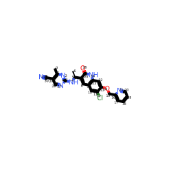 Cc1nc(N[C@@H](C)c2cc3cc(Cl)c(OCc4ccccn4)cc3[nH]c2=O)ncc1C#N